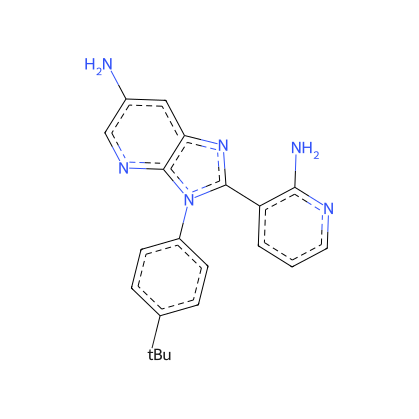 CC(C)(C)c1ccc(-n2c(-c3cccnc3N)nc3cc(N)cnc32)cc1